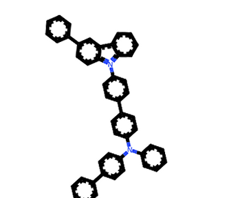 c1ccc(-c2ccc(N(c3ccccc3)c3ccc(-c4ccc(-n5c6ccccc6c6cc(-c7ccccc7)ccc65)cc4)cc3)cc2)cc1